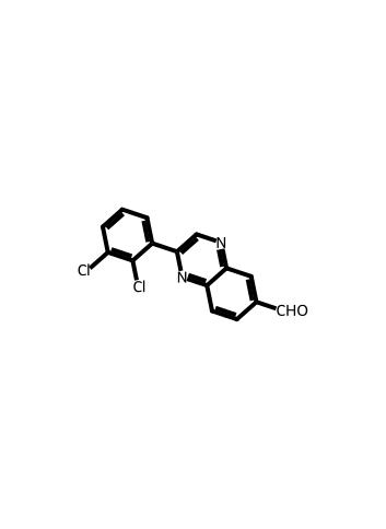 O=Cc1ccc2nc(-c3cccc(Cl)c3Cl)cnc2c1